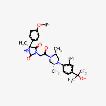 CCCc1cc(C(O)(C(F)(F)F)C(F)(F)F)ccc1N1C[C@H](C)N(C(=O)CN2C(=O)N[C@@](C)(c3ccc(OC(C)C)cc3)C2=O)C[C@H]1C